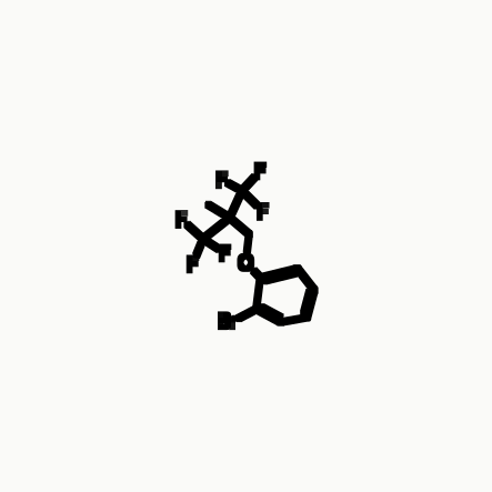 CC(COc1ccccc1Br)(C(F)(F)F)C(F)(F)F